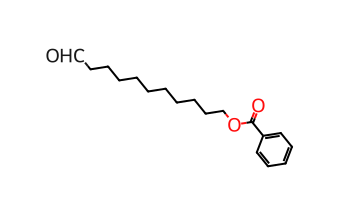 O=CCCCCCCCCCCOC(=O)c1ccccc1